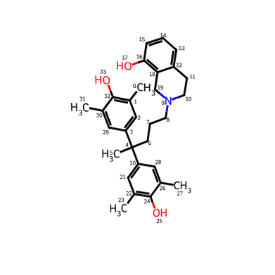 Cc1cc(C(C)(CCCN2CCc3cccc(O)c3C2)c2cc(C)c(O)c(C)c2)cc(C)c1O